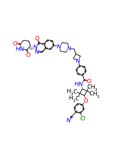 CC1(C)[C@H](NC(=O)c2ccc(N3CC(CN4CCN(c5ccc6c(=O)n([C@H]7CCC(=O)NC7=O)ncc6c5)CC4)C3)cc2)C(C)(C)[C@H]1Oc1ccc(C#N)c(Cl)c1